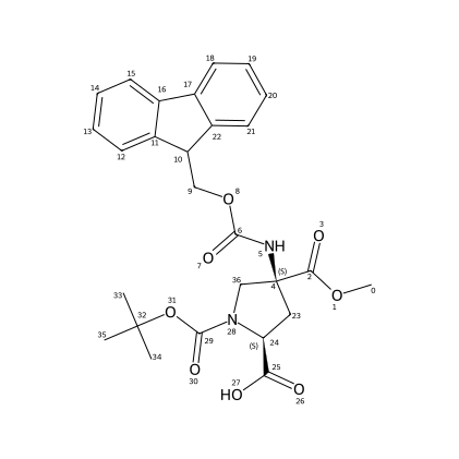 COC(=O)[C@]1(NC(=O)OCC2c3ccccc3-c3ccccc32)C[C@@H](C(=O)O)N(C(=O)OC(C)(C)C)C1